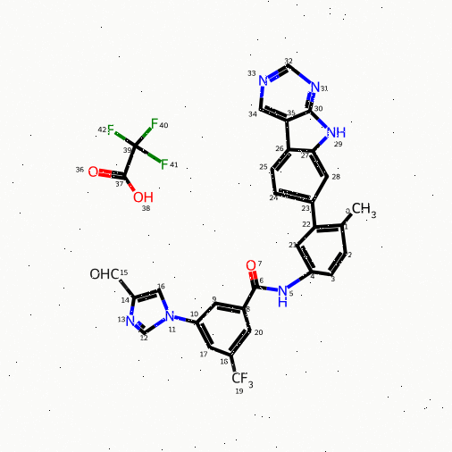 Cc1ccc(NC(=O)c2cc(-n3cnc(C=O)c3)cc(C(F)(F)F)c2)cc1-c1ccc2c(c1)[nH]c1ncncc12.O=C(O)C(F)(F)F